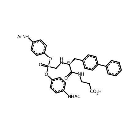 CC(=O)Nc1ccc(OP(=O)(CN[C@@H](Cc2ccc(-c3ccccc3)cc2)C(=O)NCCC(=O)O)Oc2ccc(NC(C)=O)cc2)cc1